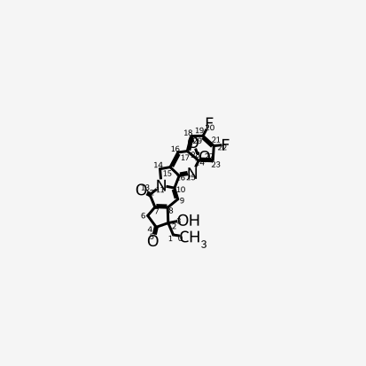 CCC1(O)C(=O)Cc2c1cc1n(c2=O)Cc2cc3c4c(F)c(F)c(c3nc2-1)OCO4